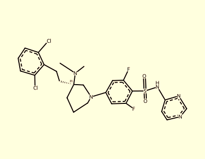 CN(C)[C@]1(CCc2c(Cl)cccc2Cl)CCCN(c2cc(F)c(S(=O)(=O)Nc3ccncn3)c(F)c2)C1